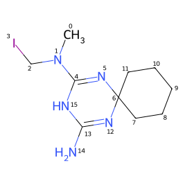 CN(CI)C1=NC2(CCCCC2)N=C(N)N1